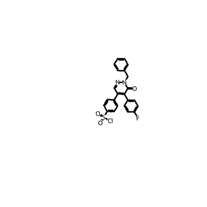 O=c1c(-c2ccc(F)cc2)c(-c2ccc(S(=O)(=O)Cl)cc2)cnn1Cc1ccccc1